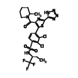 CCC(NS(=O)(=O)c1ccc(-c2sc(-c3nnn[nH]3)nc2C(=O)N2CCCCC2C)c(Cl)c1Cl)C(F)(F)F